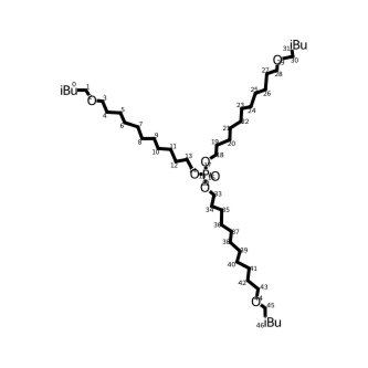 CCC(C)COCCCCCCCCCCCOP(=O)(OCCCCCCCCCCCOCC(C)CC)OCCCCCCCCCCCOCC(C)CC